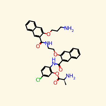 C[C@H](N)C(=O)Oc1cc(Cl)ccc1NC(=O)c1cc2ccccc2cc1OCCNC(=O)c1cc2ccccc2cc1OCCCN